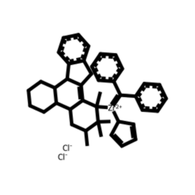 CC1CC2C(=C3Cc4ccccc4C3C3CCCCC23)[C](C)([Zr+2](=[C](c2ccccc2)c2ccccc2)[CH]2C=CC=C2)C1(C)C.[Cl-].[Cl-]